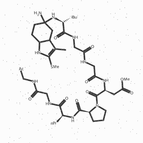 CCC[C@H](NC(=O)[C@@H]1CCCN1C(=O)[C@H](CC(=O)OC)NC(=O)CNC(=O)CNC(=O)[C@@H](NC1(N)CCC2NC(SC)=C(C)C2C1)[C@@H](C)CC)C(=O)NCC(=O)NCC(C)=O